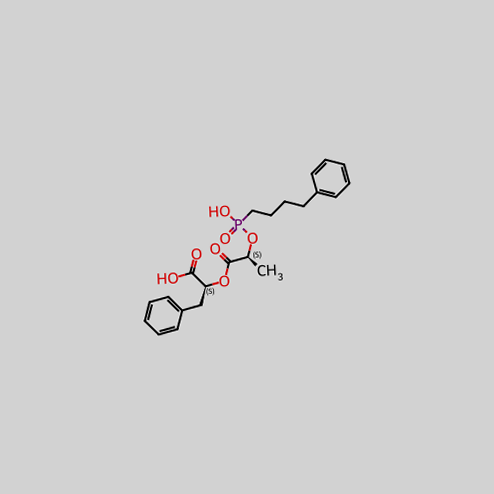 C[C@H](OP(=O)(O)CCCCc1ccccc1)C(=O)O[C@@H](Cc1ccccc1)C(=O)O